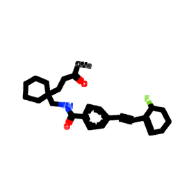 COC(=O)CCC1(CNC(=O)c2ccc(C#CC3=CCCCC3F)cc2)CCCCC1